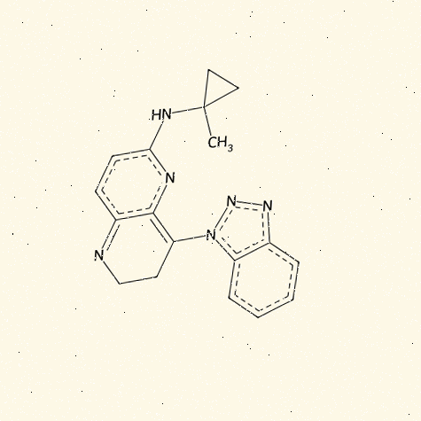 CC1(Nc2ccc3c(n2)=C(n2nnc4ccccc42)CCN=3)CC1